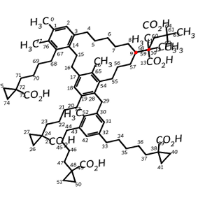 Cc1cc(CCCCCCC(C)(C)C(=O)O)c(CCc2cc(CCCCC3(C(=O)O)CC3)c(Cc3cc(CCCCCC4(C(=O)O)CC4)cc(CCCCC4(C(=O)O)CC4)c3C)c(CCCCCCC(C)(C)C(=O)O)c2C)c(CCCCC2(C(=O)O)CC2)c1C